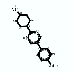 CCCCCCCCc1ccc(-c2cnc(C3CCC(C#N)CC3)nc2)cc1